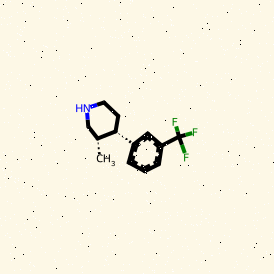 C[C@@H]1CNCC[C@@H]1c1cccc(C(F)(F)F)c1